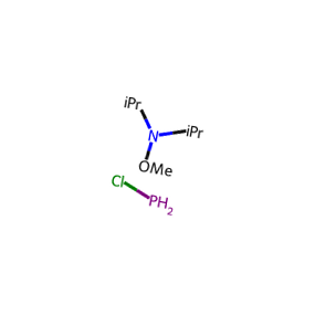 CON(C(C)C)C(C)C.PCl